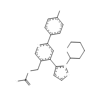 NC(=O)OCc1cnc(-c2ccc(F)cc2)cc1-c1ccnn1C1CCCCO1